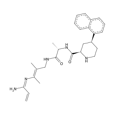 C=C/C(N)=N\C(C)=C(/C)CNC(=O)[C@H](C)NC(=O)[C@H]1C[C@@H](c2cccc3ccccc23)CCN1